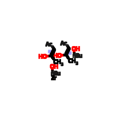 CC(=O)/C=C(/C)O.CC(=O)/C=C(/C)O.CCCCO.CCCCO.[Zr]